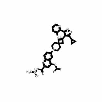 Cc1cccnc1-c1noc(C2CC2)c1C1=CC2(CCN(c3ccc4nc(C(=O)N[S+](C)[O-])cc(OC(F)F)c4c3)CC2)C1